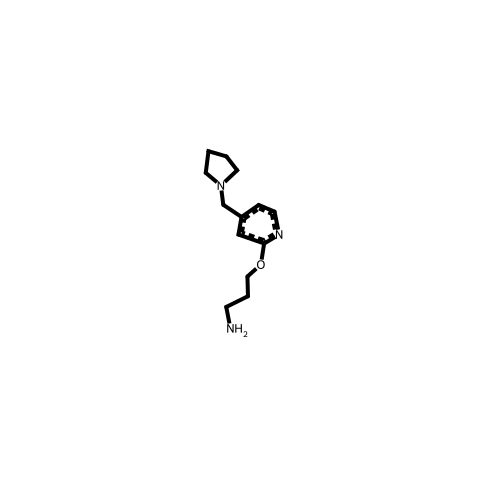 NCCCOc1cc(CN2CCCC2)ccn1